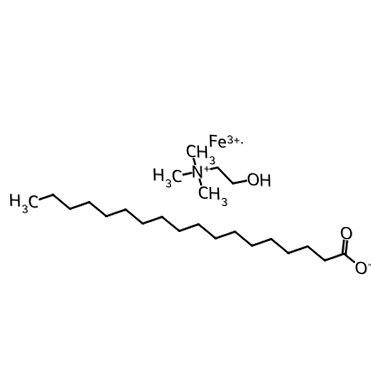 CCCCCCCCCCCCCCCCCC(=O)[O-].C[N+](C)(C)CCO.[Fe+3]